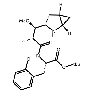 CO[C@@H]([C@@H]1C[C@@H]2C[C@@H]2N1)[C@@H](C)C(=O)N[C@@H](Cc1ccccc1Cl)C(=O)OC(C)(C)C